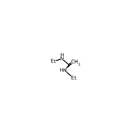 C=C(NCC)NCC